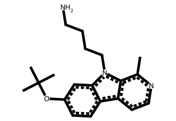 Cc1nccc2c3ccc(OC(C)(C)C)cc3n(CCCCN)c12